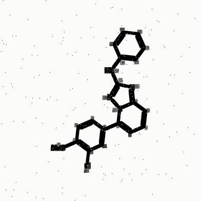 COc1ccc(-c2cccc3nc(Nc4ccccc4)nn23)cc1Cl